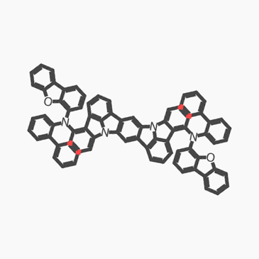 c1ccc(-c2ccccc2N(c2cccc3c2oc2ccccc23)c2cccc3c2c2cccc4c5cc6c(cc5n3c42)c2cccc3c4c(N(c5ccccc5-c5ccccc5)c5cccc7c5oc5ccccc57)cccc4n6c23)cc1